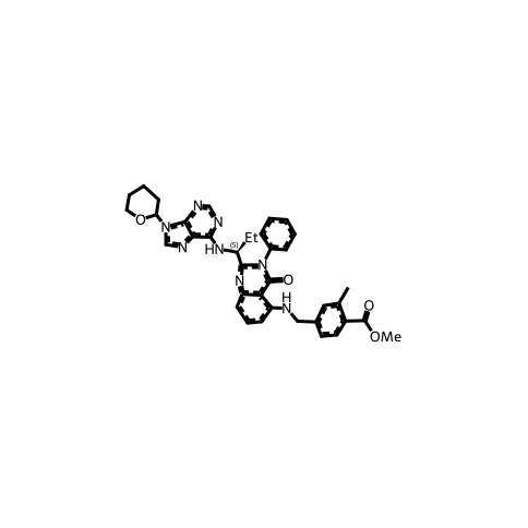 CC[C@H](Nc1ncnc2c1ncn2C1CCCCO1)c1nc2cccc(NCc3ccc(C(=O)OC)c(C)c3)c2c(=O)n1-c1ccccc1